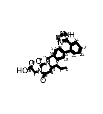 CCCc1cc(=O)n(CC(=O)O)c(=O)n1Cc1ccc(-c2ccccc2-c2nnn[nH]2)cc1